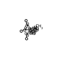 CC1=N[C@H]2[C@@H](O1)O[C@H](CO)[C@@H](O[C@@H]1O[C@H](CCCC(=O)OCc3ccccc3)[C@@H](CCC(=O)OCc3ccccc3)[C@H](CCC(=O)OCc3ccccc3)[C@@H]1O)[C@@H]2O